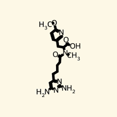 COc1ccc(CC(C(=O)O)N(C)C(=O)CCCCc2cc(N)nc(N)n2)cn1